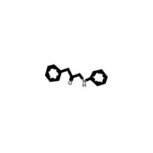 O=C(CNc1ccccc1)Cc1ccccc1